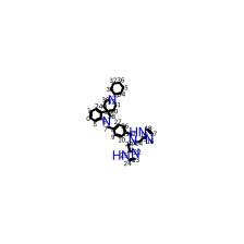 c1ccc2c(c1)N(Cc1ccc(CN(Cc3ncc[nH]3)Cc3ncc[nH]3)cc1)CC21CCN(C2CCCCC2)CC1